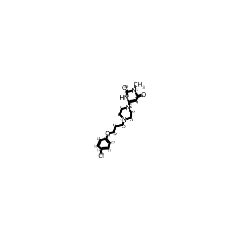 Cn1c(=O)cc(N2CCN(CCCOc3ccc(Cl)cc3)CC2)[nH]c1=O